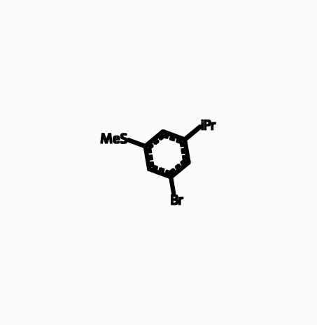 [CH2]C(C)c1cc(Br)cc(SC)c1